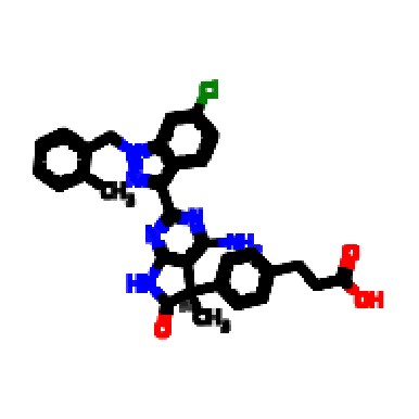 Cc1ccccc1Cn1nc(-c2nc(N)c3c(n2)NC(=O)[C@@]3(C)c2ccc(CCC(=O)O)cc2)c2ccc(Cl)cc21